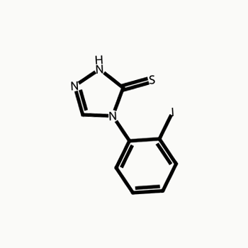 S=c1[nH]ncn1-c1ccccc1I